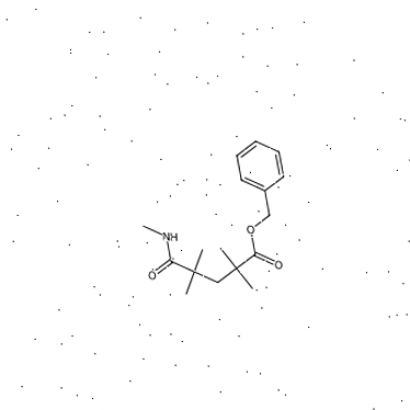 CNC(=O)C(C)(C)CC(C)(C)C(=O)OCc1ccccc1